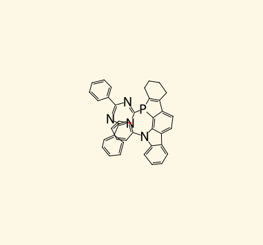 c1ccc(-c2nc(-c3ccccc3)nc(-p3c4c(c5ccc6c7ccccc7n(-c7ccccc7)c6c53)CCCC4)n2)cc1